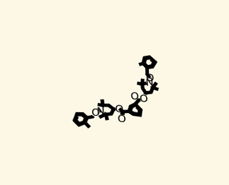 Cc1ccccc1CON1C(C)(C)CC(OC(=O)c2cccc(C(=O)OC3CC(C)(C)N(OCc4ccccc4C)C(C)(C)C3)c2)CC1(C)C